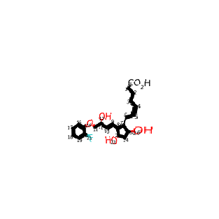 O=C(O)CCC/C=C\C[C@@H]1C(/C=C/[C@@H](O)COc2ccccc2F)[C@H](O)C[C@@H]1O